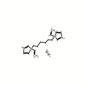 C=C[N+]1(CCCCCC[N+]2(C=C)C=CN=C2)C=CN=C1.[Br-].[Br-]